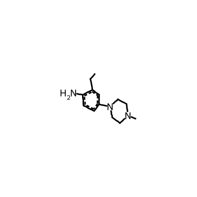 CCc1cc(N2CCN(C)CC2)ccc1N